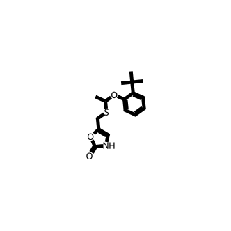 CC(Oc1ccccc1C(C)(C)C)SCc1c[nH]c(=O)o1